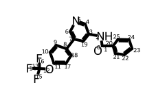 O=C(Nc1cncc(-c2ccc(OC(F)(F)F)cc2)c1)c1ccccc1